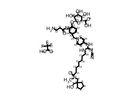 CN(CC1(CO)CCCC1)C(=O)CCCCCCCN/C(=N\C#N)Nc1cc[n+](Cc2ccc(O[C@@H]3O[C@H](C(=O)O)[C@@H](O)[C@H](O)[C@H]3O)c(NC(=O)CCN)c2)cc1.O=C(O)C(F)(F)F